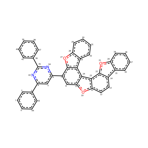 c1ccc(-c2cc(-c3cc4oc5ccc6c7ccccc7oc6c5c4c4c3oc3ccccc34)nc(-c3ccccc3)n2)cc1